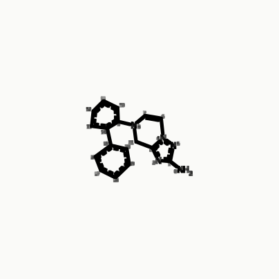 Nc1nc2n(n1)C=CN(c1ccccc1-c1ccccc1)C2